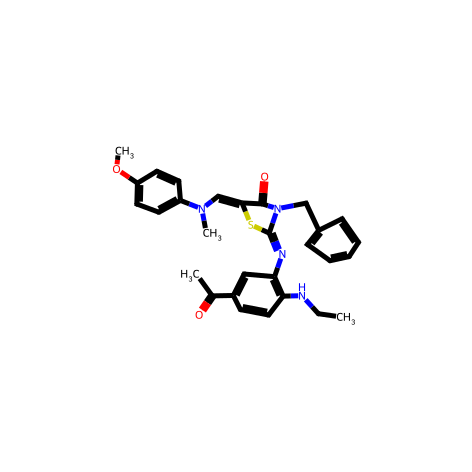 CCNc1ccc(C(C)=O)cc1/N=C1\S/C(=C\N(C)c2ccc(OC)cc2)C(=O)N1Cc1ccccc1